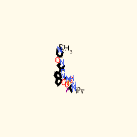 CC(C)n1cc(I)c(S(=O)(=O)NC(=O)Nc2c(-c3ccnc(OC4CCN(C)CC4)c3)ccc3c2CCC3)n1